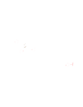 [O-][S@@+](COCCCCCCCO)COCc1ccccc1